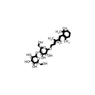 CC1=C(/C=C(C)/C(C)=C/COC2O[C@H](CO)[C@@H](OC3O[C@H](CO)[C@@H](O)[C@H](O)[C@H]3O)[C@H](O)[C@H]2O)C(C)(C)CCC1